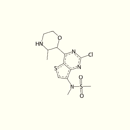 CC1NCCOC1c1nc(Cl)nc2c(N(C)S(C)(=O)=O)csc12